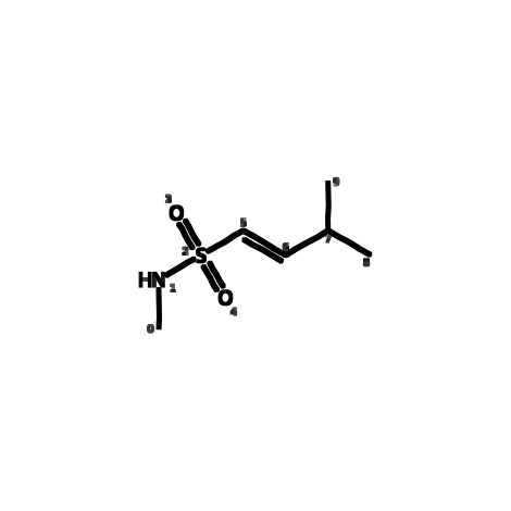 CNS(=O)(=O)/C=C/C(C)C